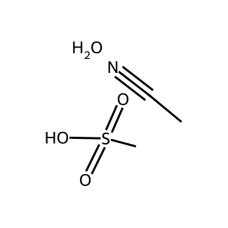 CC#N.CS(=O)(=O)O.O